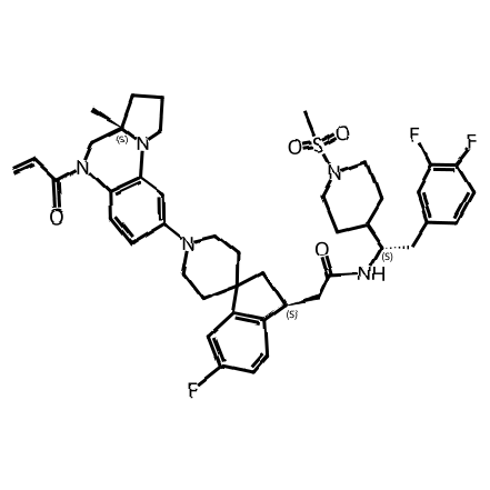 C=CC(=O)N1C[C@]2(C)CCCN2c2cc(N3CCC4(CC3)C[C@@H](CC(=O)N[C@@H](Cc3ccc(F)c(F)c3)C3CCN(S(C)(=O)=O)CC3)c3ccc(F)cc34)ccc21